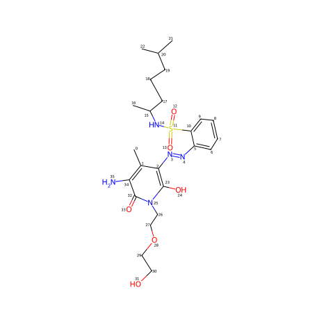 Cc1c(/N=N/c2ccccc2S(=O)(=O)NC(C)CCCC(C)C)c(O)n(CCOCCO)c(=O)c1N